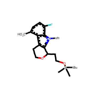 CCCn1c2c(c3c(C(=O)O)ccc(F)c31)CCOC2CCO[Si](C)(C)C(C)(C)C